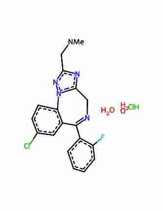 CNCc1nc2n(n1)-c1ccc(Cl)cc1C(c1ccccc1F)=NC2.Cl.O.O